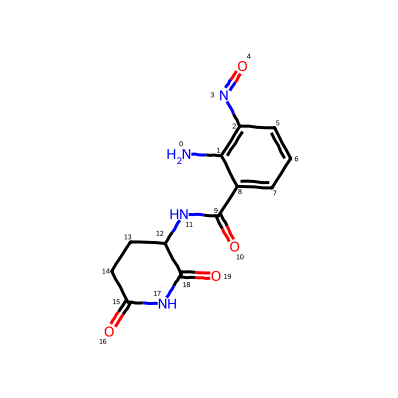 Nc1c(N=O)cccc1C(=O)NC1CCC(=O)NC1=O